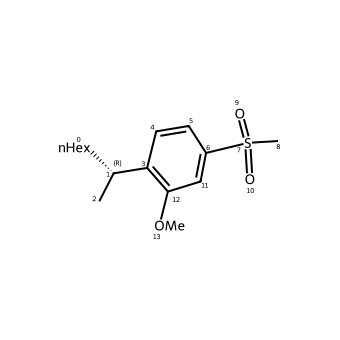 CCCCCC[C@@H](C)c1ccc(S(C)(=O)=O)cc1OC